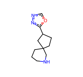 c1nnc(C2CCC3(CCCNC3)C2)o1